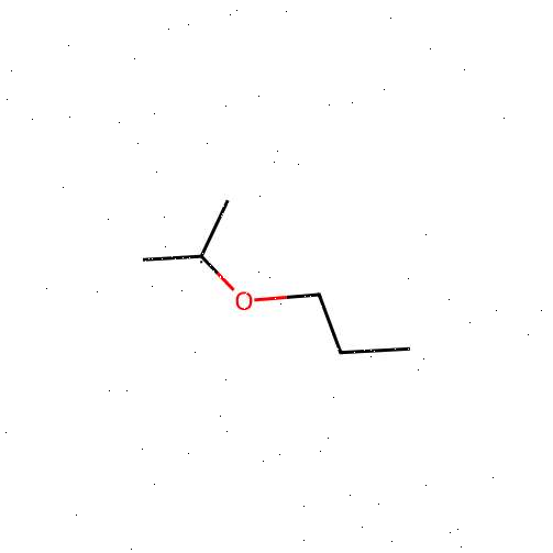 CCCO[C](C)C